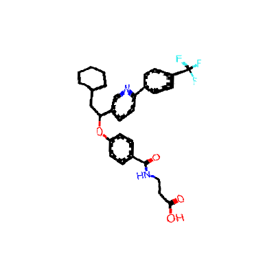 O=C(O)CCNC(=O)c1ccc(OC(CC2CCCCC2)c2ccc(-c3ccc(C(F)(F)F)cc3)nc2)cc1